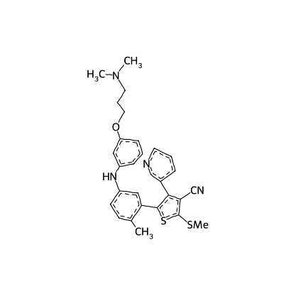 CSc1sc(-c2cc(Nc3cccc(OCCCN(C)C)c3)ccc2C)c(-c2cccnc2)c1C#N